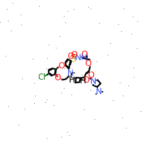 CN(C)[C@@H]1CCN(C(=O)O[C@H]2/C=C/COC(C)(C)C(=O)NS(=O)(=O)c3ccc4c(c3)N(CCCOc3cc(Cl)ccc3CO4)C[C@@H]3CC[C@H]32)C1